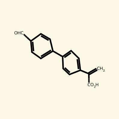 C=C(C(=O)O)c1ccc(-c2ccc(C=O)cc2)cc1